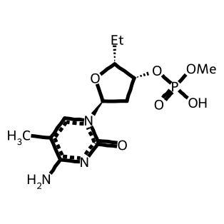 CC[C@H]1O[C@H](n2cc(C)c(N)nc2=O)C[C@H]1OP(=O)(O)OC